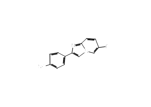 N#Cc1ccc(-c2cn3cc(F)ccc3n2)cc1